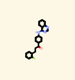 O=C(C[CH]c1ccccc1F)c1ccc(Nc2ncnc3ccccc23)cc1